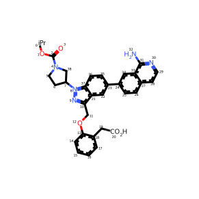 CC(C)OC(=O)N1CCC(n2nc(COc3ccccc3CC(=O)O)c3cc(-c4ccc5ccnc(N)c5c4)ccc32)C1